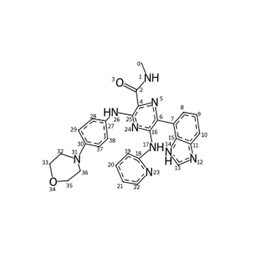 CNC(=O)c1nc(-c2cccc3nc[nH]c23)c(Nc2ccccn2)nc1Nc1ccc(N2CCOCC2)cc1